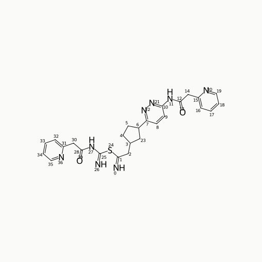 N=C(CC1CCC(c2ccc(NC(=O)Cc3ccccn3)nn2)C1)SC(=N)NC(=O)Cc1ccccn1